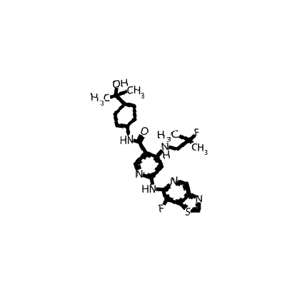 CC(C)(F)CNc1cc(Nc2ncc3ncsc3c2F)ncc1C(=O)NC1CCC(C(C)(C)O)CC1